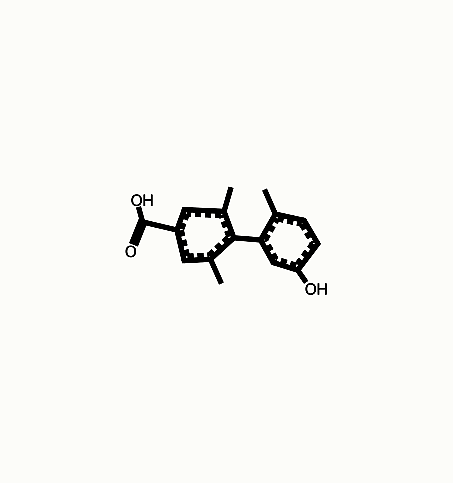 Cc1ccc(O)cc1-c1c(C)cc(C(=O)O)cc1C